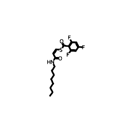 CCCCCCCCNC(=O)/C=C\SC(=O)c1c(F)cc(F)cc1F